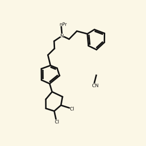 CC#N.CCCN(CCCc1ccc(C2CCC(Cl)C(Cl)C2)cc1)CCc1ccccc1